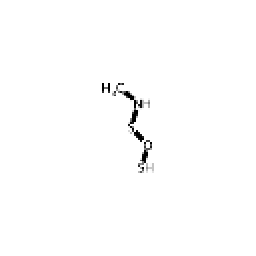 CNSOS